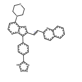 C(=C\c1nc2c(N3CCOCC3)ccnn2c1-c1ccc(-c2nnn[nH]2)cc1)/c1ccc2ccccc2n1